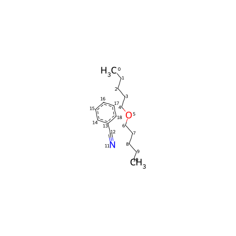 CCCCCOCCCCC.N#Cc1ccccc1